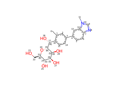 Cc1cc(-c2ccc3ncn(C)c3c2)ccc1[C@@H](O)[C@H]1O[C@H](CO)[C@@H](O)[C@H](O)[C@@H]1O